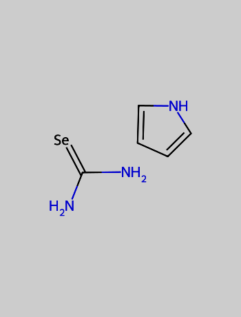 NC(N)=[Se].c1cc[nH]c1